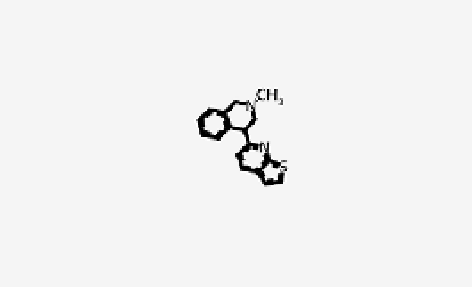 CN1Cc2ccccc2C(c2ccc3ccsc3n2)C1